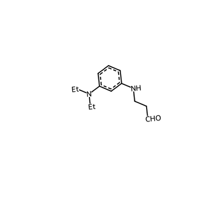 CCN(CC)c1cccc(NCCC=O)c1